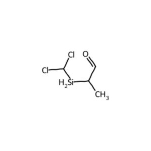 CC(C=O)[SiH2]C(Cl)Cl